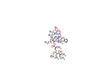 C/C=C(\C)[C@@H](O)[C@@H](C)[C@H](C/C=C(\C)C(=O)O[C@H](CC(C)C)C(=O)N[C@@H](C)C(=O)N(C)[C@H](Cc1ccccc1)C(=O)N(C)CC(=O)N[C@H](C(C)=O)C(C)CC)OCSC